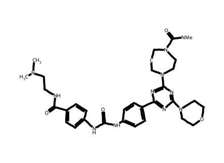 CNC(=O)N1CCCN(c2nc(-c3ccc(NC(=O)Nc4ccc(C(=O)NCCN(C)C)cc4)cc3)nc(N3CCOCC3)n2)CC1